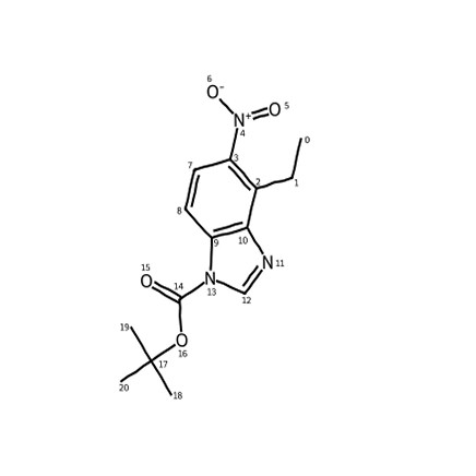 CCc1c([N+](=O)[O-])ccc2c1ncn2C(=O)OC(C)(C)C